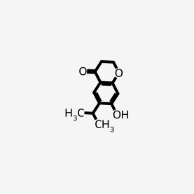 CC(C)c1cc2c(cc1O)OCCC2=O